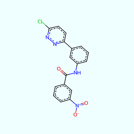 O=C(Nc1cccc(-c2ccc(Cl)nn2)c1)c1cccc([N+](=O)[O-])c1